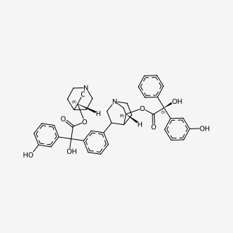 O=C(O[C@H]1CN2CCC1CC2)C(O)(c1cccc(O)c1)c1cccc(C2CN3CCC2[C@@H](OC(=O)[C@](O)(c2ccccc2)c2cccc(O)c2)C3)c1